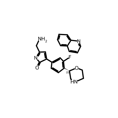 NCC1=NC(=O)C(c2ccc([C@H]3CNCCO3)c(F)c2)=C1.c1ccc2ncccc2c1